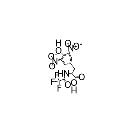 O=C(O)[C@H](Cc1cc([N+](=O)[O-])c(O)c([N+](=O)[O-])c1)NC(=O)C(F)(F)F